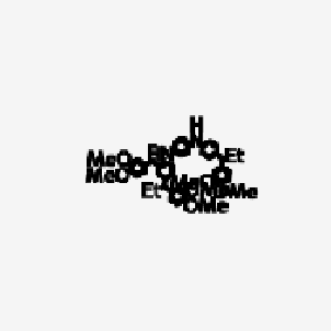 CCC(C1=CCC(Nc2ccc(NC3=C(C(CC)c4ccc(OC)c(OC)c4)CC(C(CC)c4ccc(OC)c(OC)c4)C=C3)cc2)C=C1)c1ccc(OC)c(OC)c1